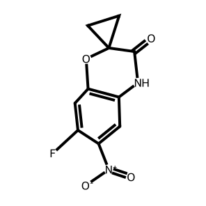 O=C1Nc2cc([N+](=O)[O-])c(F)cc2OC12CC2